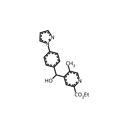 CCOC(=O)c1cc(C(O)c2ccc(-n3cccn3)cc2)c(C)cn1